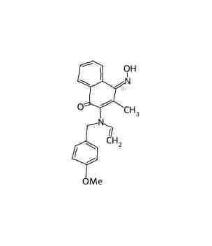 C=CN(Cc1ccc(OC)cc1)C1=C(C)/C(=N/O)c2ccccc2C1=O